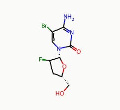 Nc1nc(=O)n([C@@H]2O[C@H](CO)C[C@H]2F)cc1Br